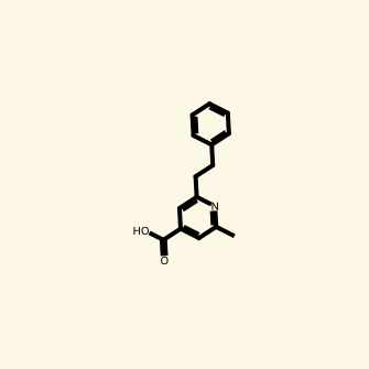 Cc1cc(C(=O)O)cc(CCc2ccccc2)n1